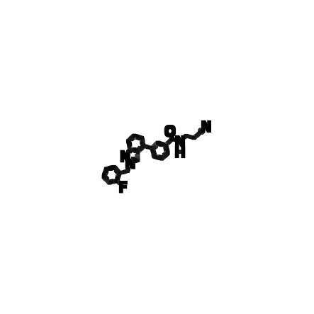 N#CCCNC(=O)c1cccc(-c2cccc3nn(Cc4ccccc4F)cc23)c1